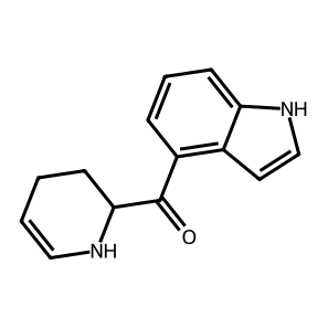 O=C(c1cccc2[nH]ccc12)C1CCC=CN1